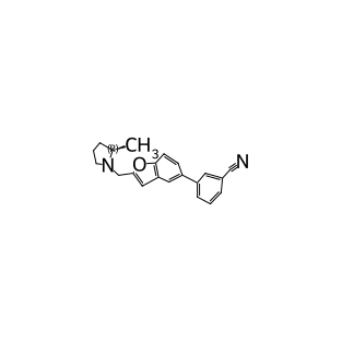 C[C@@H]1CCCN1Cc1cc2cc(-c3cccc(C#N)c3)ccc2o1